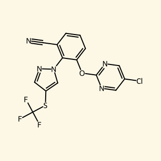 N#Cc1cccc(Oc2ncc(Cl)cn2)c1-n1cc(SC(F)(F)F)cn1